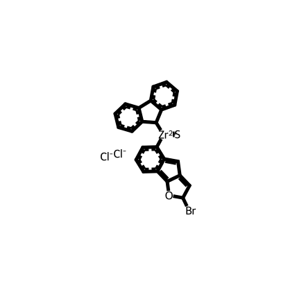 [Cl-].[Cl-].[S]=[Zr+2]([c]1cccc2c1=CC1=CC(Br)OC=21)[CH]1c2ccccc2-c2ccccc21